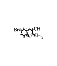 Cc1cc2cc(Br)ccc2[o+]c1C